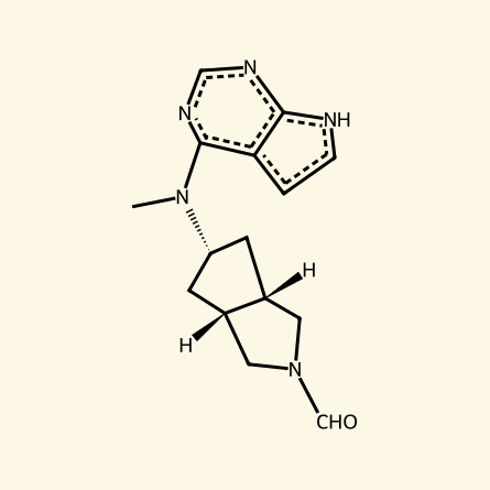 CN(c1ncnc2[nH]ccc12)[C@@H]1C[C@@H]2CN(C=O)C[C@@H]2C1